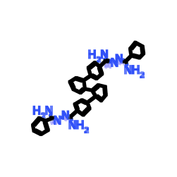 N/C(=N\N=C(/N)c1ccc(-c2ccccc2-c2ccccc2-c2ccc(/C(N)=N/N=C(\N)c3ccccc3)cc2)cc1)c1ccccc1